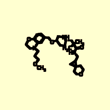 COCCCN1CCOc2ccc(CO[C@@H]3CC[C@@H](CC(C)(C)C(=O)NCC4CC45CCOCC5)NC3)cc21